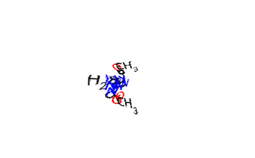 Bc1nc(N2CCCC(C(=O)OC)C2)n2ccnc(NCc3ccc(OC)cc3)c12